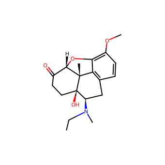 CCN(C)[C@@H]1Cc2ccc(OC)c3c2[C@@]2(C)[C@@H](O3)C(=O)CC[C@@]12O